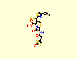 Cc1csc(C(S)C2=C(C(=O)O)N3C(=O)C(NC(=O)Cc4csc(=O)s4)C3SC2)n1